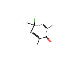 CC1=CC(C)(Cl)C=C(C)C1=O